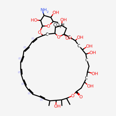 CC1\C=C/C=C\C=C/C=C\C=C/C=C\C=C/C(OC2OC(C)C(O)C(N)C2O)CC2OC(O)(CC(O)CC(O)C(O)CCC(O)CC(O)CC(=O)OC(C)C(C)C1O)CC(O)C2C(=O)O